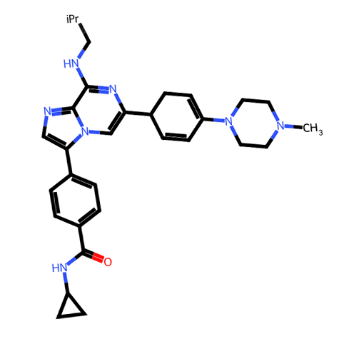 CC(C)CNc1nc(C2C=CC(N3CCN(C)CC3)=CC2)cn2c(-c3ccc(C(=O)NC4CC4)cc3)cnc12